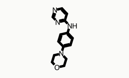 c1cc(Nc2ccc(N3CCOCC3)cc2)ncn1